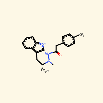 CN(NC(=O)Cc1ccc(C(F)(F)F)cc1)[C@@H](Cc1c[nH]c2ccccc12)C(=O)O